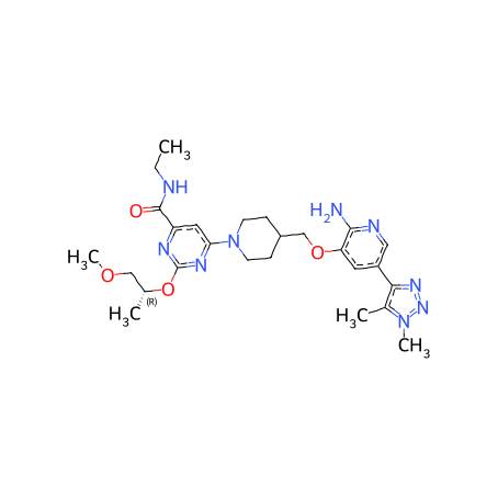 CCNC(=O)c1cc(N2CCC(COc3cc(-c4nnn(C)c4C)cnc3N)CC2)nc(O[C@H](C)COC)n1